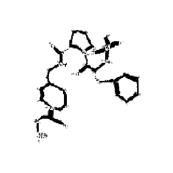 CONC(=N)N1CCC(CNC(=O)[C@@H]2CCCN2C(=O)[C@@H](Cc2ccccc2)NS(C)(=O)=O)CC1